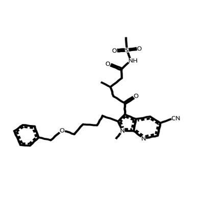 CC(CC(=O)NS(C)(=O)=O)CC(=O)c1c(CCCCOCc2ccccc2)n(C)c2ncc(C#N)cc12